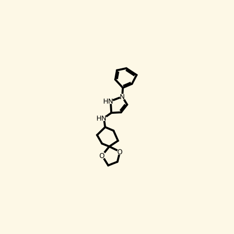 C1=CN(c2ccccc2)NC1NC1CCC2(CC1)OCCO2